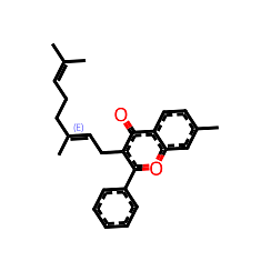 CC(C)=CCC/C(C)=C/Cc1c(-c2ccccc2)oc2cc(C)ccc2c1=O